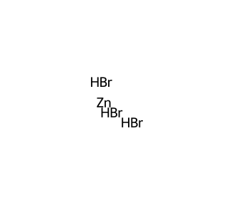 Br.Br.Br.[Zn]